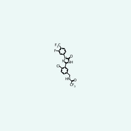 O=C(NCc1ccc(Cl)c(-c2nn(-c3ccc(C(F)(F)F)c(F)c3)c(=O)[nH]2)c1)C(F)(F)F